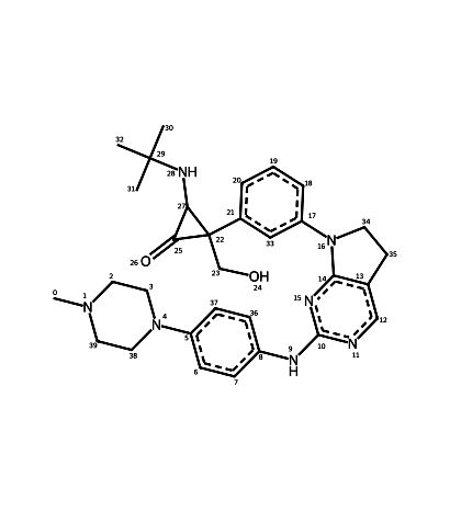 CN1CCN(c2ccc(Nc3ncc4c(n3)N(c3cccc(C5(CO)C(=O)C5NC(C)(C)C)c3)CC4)cc2)CC1